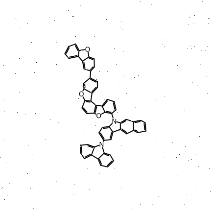 c1ccc2cc3c(cc2c1)c1cc(-n2c4ccccc4c4ccccc42)ccc1n3-c1cccc2c1oc1ccc3oc4cc(-c5ccc6oc7ccccc7c6c5)ccc4c3c12